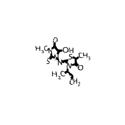 C=CC(C)N1C(=O)C(C)SC1=NN1C(=S)N(C)C(=O)C1O